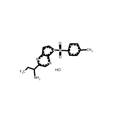 Cc1ccc(S(=O)(=O)n2ccc3nc(C(N)CC(F)(F)F)cnc32)cc1.Cl